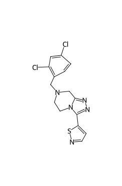 Clc1ccc(CN2CCn3c(nnc3-c3ccns3)C2)c(Cl)c1